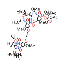 C=CCOC(=O)Nc1cc(OCCCCCOc2cc(NC(=O)OCc3ccc(O[C@@H]4O[C@H](C(=O)OC)[C@@H](OC(C)=O)[C@H](OC(C)=O)[C@H]4OC(C)=O)c(C(=O)NCCOC)c3)c(C(=O)N3CC(=C)C[C@H]3CO[Si](C)(C)C(C)(C)C)cc2OC)c(OC)cc1C(=O)N1CC(=C)C[C@H]1CO[Si](C)(C)C(C)(C)C